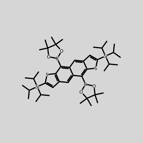 CC(C)[Si](c1cc2cc3c(B4OC(C)(C)C(C)(C)O4)c4sc([Si](C(C)C)(C(C)C)C(C)C)cc4cc3c(B3OC(C)(C)C(C)(C)O3)c2s1)(C(C)C)C(C)C